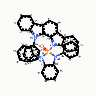 O=P1(n2c3ccccc3c3ccc4c5ccccc5n(-c5ccccc5)c4c32)N(c2ccccc2)c2ccccc2N1c1ccccc1